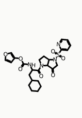 O=C(NC(CC1CCCCC1)C(=O)N1CCC2C1C(=O)CN2S(=O)(=O)c1ccccn1)Oc1ccoc1